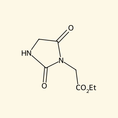 CCOC(=O)CN1C(=O)CNC1=O